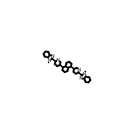 Cn1c(-c2ccc(-c3cccc4c(-c5ccc(-c6nc7ccccc7n6C)nc5)cccc34)cn2)nc2ccccc21